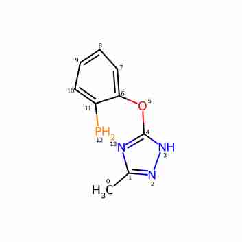 Cc1n[nH]c(Oc2ccccc2P)n1